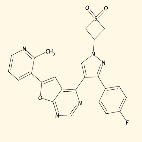 Cc1ncccc1-c1cc2c(-c3cn(C4CS(=O)(=O)C4)nc3-c3ccc(F)cc3)ncnc2o1